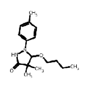 CCCCOC1N(c2ccc(C)cc2)NC(=O)C1(C)C